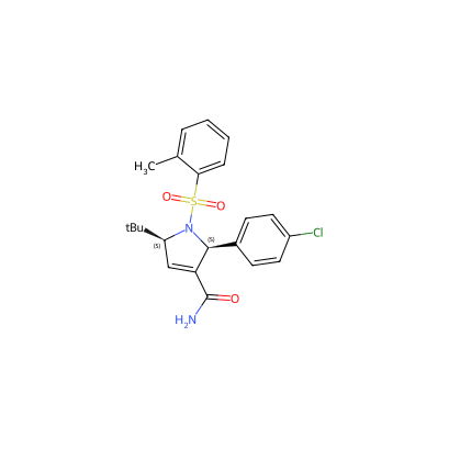 Cc1ccccc1S(=O)(=O)N1[C@@H](c2ccc(Cl)cc2)C(C(N)=O)=C[C@H]1C(C)(C)C